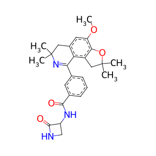 COc1cc2c(c3c1OC(C)(C)C3)C(c1cccc(C(=O)NC3CNC3=O)c1)=NC(C)(C)C2